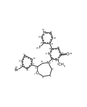 Cn1c(N2CCCOC(c3cccc(Br)c3)C2)nc(-c2ccncc2F)cc1=O